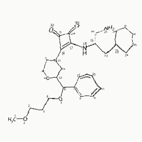 COCCCOC(c1ccccc1)C1CN(c2c(N[C@H](CN)CC3CCCCC3)c(=O)c2=O)CCO1